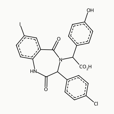 O=C(O)C(c1ccc(O)cc1)N1C(=O)c2cc(I)ccc2NC(=O)C1c1ccc(Cl)cc1